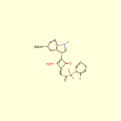 C=C(/C=C1\C(=O)C(c2cn(C)c3ccc(OC)cc23)=C1O)C(C)(C)c1ccccc1C